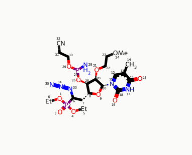 CCOP(=O)(OCC)C(C[C@H]1O[C@@H](n2cc(C)c(=O)[nH]c2=O)[C@H](OCCOC)[C@@H]1OP(N)OCCC#N)N=[N+]=[N-]